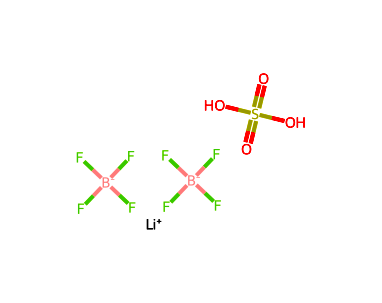 F[B-](F)(F)F.F[B-](F)(F)F.O=S(=O)(O)O.[Li+]